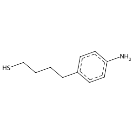 Nc1ccc(CCCCS)cc1